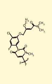 COC(=CC(=O)N(C)C)COc1cc(-n2c(=O)cc(C(F)(F)F)n(C)c2=O)c(F)cc1Cl